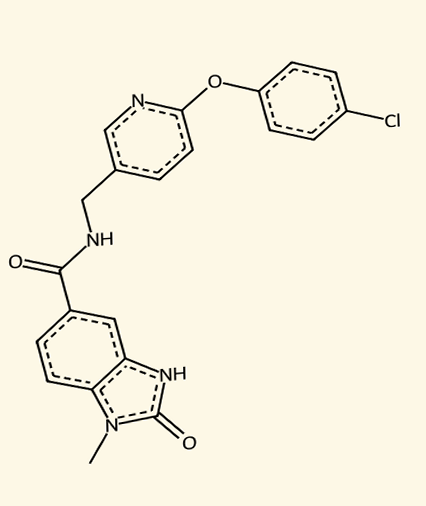 Cn1c(=O)[nH]c2cc(C(=O)NCc3ccc(Oc4ccc(Cl)cc4)nc3)ccc21